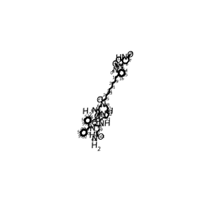 Cn1c(=O)n(C2CCC(=O)NC2=O)c2cccc(CCCCCCCCC(=O)N3CC[C@H]4CC[C@@H](C(=O)N[C@@H](CCC(N)=O)C(=O)NC(c5ccccc5)c5ccccc5)N4C(=O)[C@@H](N)C3)c21